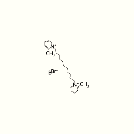 Cc1cccc[n+]1CCCCCCCCCCC[n+]1ccccc1C.[Br-].[Br-]